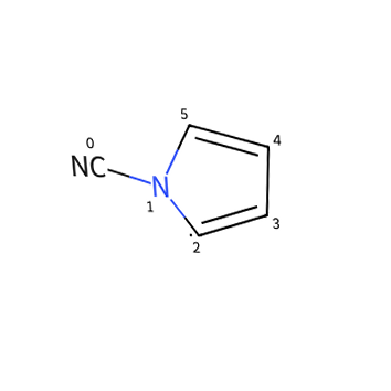 N#Cn1[c]ccc1